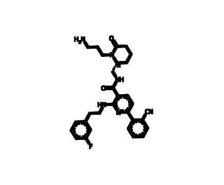 N#Cc1ccccc1-c1ccc(C(=O)NC[C@H]2CCCC(=O)N2CCCN)c(NCCc2cccc(F)c2)n1